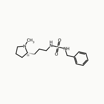 CN1CCC[C@H]1CCCNS(=O)(=O)NCc1ccccc1